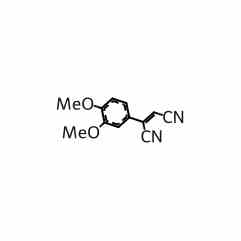 COc1ccc(/C(C#N)=C/C#N)cc1OC